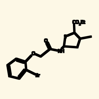 CCOC(=O)C1SC(NC(=O)COc2ccccc2Br)CC1C